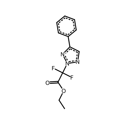 CCOC(=O)C(F)(F)n1ncc(-c2ccccc2)n1